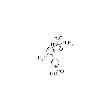 Cc1ccc(NC(=O)C(C)C)cc1C1=CCN(C(=O)O)CC1